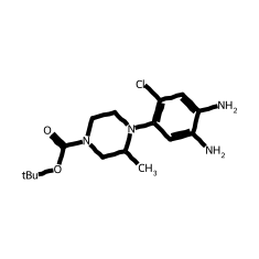 CC1CN(C(=O)OC(C)(C)C)CCN1c1cc(N)c(N)cc1Cl